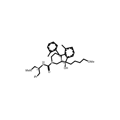 CNC[C@H](CC(C)C)NC(=O)N1CCC[C@@H]([C@@](O)(CCCCOC)c2cccc(C)c2Oc2ccccc2C)C1